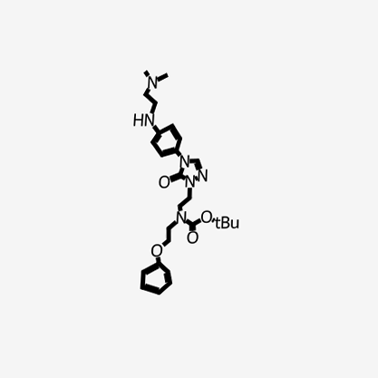 CN(C)CCNc1ccc(-n2cnn(CCN(CCOc3ccccc3)C(=O)OC(C)(C)C)c2=O)cc1